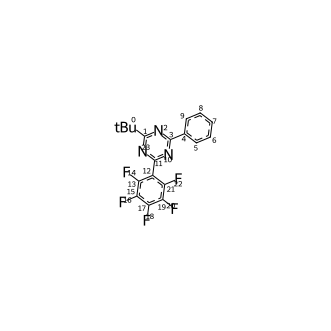 CC(C)(C)c1nc(-c2ccccc2)nc(-c2c(F)c(F)c(F)c(F)c2F)n1